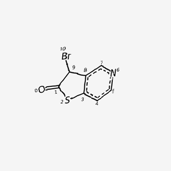 O=C1Sc2ccncc2C1Br